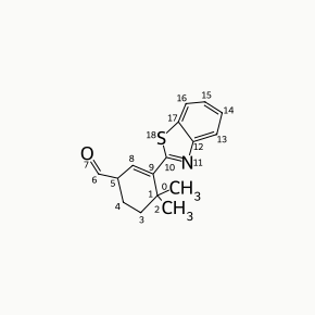 CC1(C)CCC(C=O)C=C1c1nc2ccccc2s1